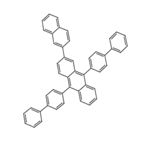 c1ccc(-c2ccc(-c3c4ccccc4c(-c4ccc(-c5ccccc5)cc4)c4cc(-c5ccc6ccccc6c5)ccc34)cc2)cc1